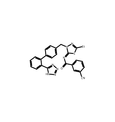 CCc1nn(Cc2ccc(-c3ccccc3-c3nnn[nH]3)cc2)c(=NC(=O)c2cccc(C#N)c2)s1